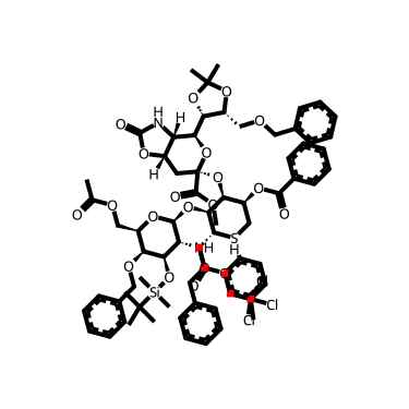 COC(=O)[C@@]1(O[C@@H]2[C@H](O[C@@H]3O[C@H](COC(C)=O)[C@H](OCc4ccccc4)[C@H](O[Si](C)(C)C(C)(C)C)[C@H]3NC(=O)OCC(Cl)(Cl)Cl)[C@@H](COCc3ccccc3)[SH](c3ccc(C)cc3)C[C@@H]2OC(=O)c2ccccc2)C[C@@H]2OC(=O)N[C@@H]2[C@@H]([C@@H]2OC(C)(C)O[C@@H]2COCc2ccccc2)O1